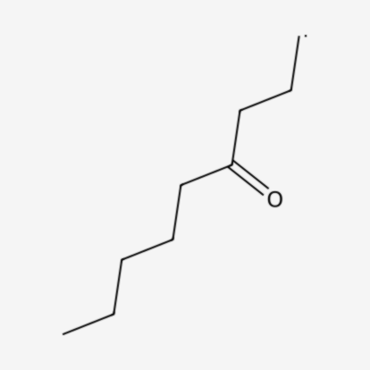 [CH2]CCC(=O)CCCCC